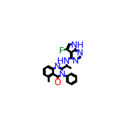 Cc1cccc2nc(C(C)Nc3ncnc4[nH]cc(F)c34)n(-c3ccccc3)c(=O)c12